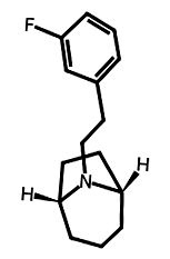 Fc1cccc(CCN2[C@@H]3CCC[C@H]2CC3)c1